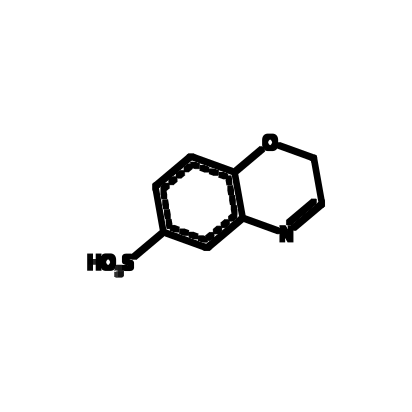 O=S(=O)(O)c1ccc2c(c1)N=CCO2